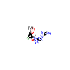 C[C@@H](c1cc(Cl)ccc1OC(F)(F)F)n1c(=O)[nH]c2cnc(NC[C@@H]3CCNC3)nc21